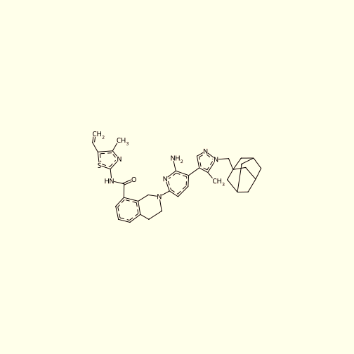 C=Cc1sc(NC(=O)c2cccc3c2CN(c2ccc(-c4cnn(CC56CC7CC(CC(C7)C5)C6)c4C)c(N)n2)CC3)nc1C